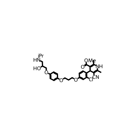 COC(=O)C1=C(C)NC(C)=C(C#N)C1c1ccc(OCCCOc2ccc(OCC(O)CNC(C)C)cc2)cc1Cl